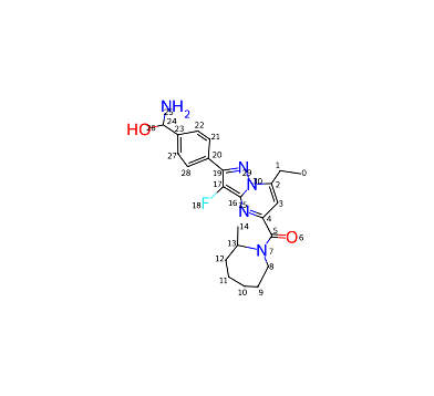 CCc1cc(C(=O)N2CCCCCC2C)nc2c(F)c(-c3ccc(C(N)O)cc3)nn12